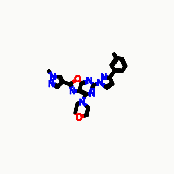 Cc1cccc(-c2ccn(-c3nc(N4CCOCC4)c4nc(-c5cnn(C)c5)oc4n3)n2)c1